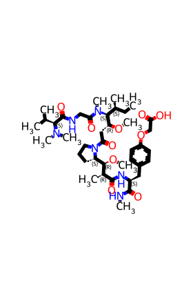 CC[C@H](C)[C@@H]([C@@H](CC(=O)N1CCC[C@H]1[C@H](OC)[C@@H](C)C(=O)N[C@@H](Cc1ccc(OCC(=O)O)cc1)C(=O)NC)OC)N(C)C(=O)CNC(=O)[C@H](C(C)C)N(C)C